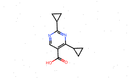 O=C(O)c1cnc(C2CC2)nc1C1CC1